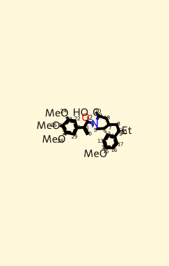 C=C(C(=O)N1CCC(C[C@H](CC)c2ccc(OC)cc2)CC1C(=O)O)c1cc(OC)c(OC)c(OC)c1